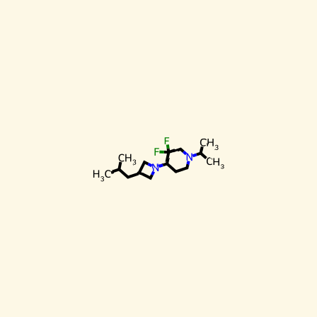 CC(C)CC1CN(C2CCN(C(C)C)CC2(F)F)C1